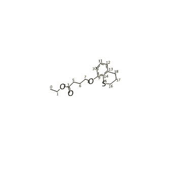 CCOC(=O)CCCOc1cccc2c1SCCC2